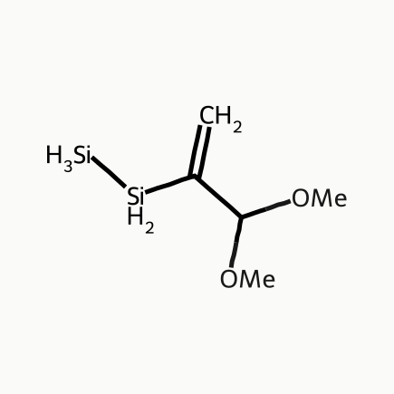 C=C([SiH2][SiH3])C(OC)OC